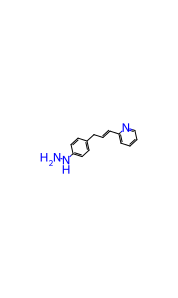 NNc1ccc(CC=Cc2ccccn2)cc1